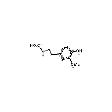 COc1cc(CCNC(=O)O)ccc1O